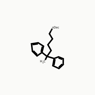 CCCCCCCCCCCCCCC(C)(c1cc[c]cc1)c1cc[c]cc1